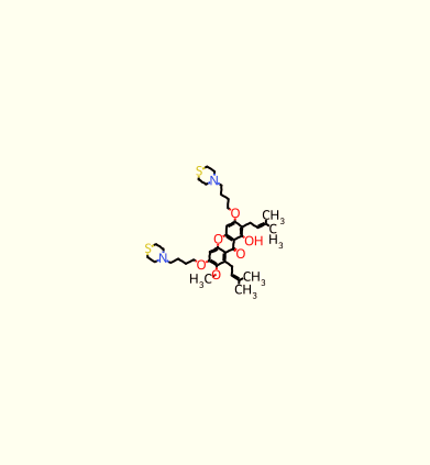 COc1c(OCCCCN2CCSCC2)cc2oc3cc(OCCCCN4CCSCC4)c(CC=C(C)C)c(O)c3c(=O)c2c1CC=C(C)C